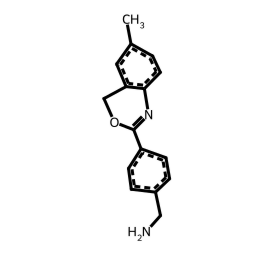 Cc1ccc2c(c1)COC(c1ccc(CN)cc1)=N2